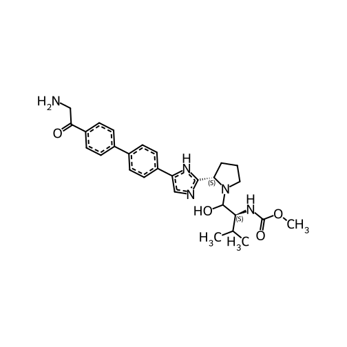 COC(=O)N[C@@H](C(C)C)C(O)N1CCC[C@H]1c1ncc(-c2ccc(-c3ccc(C(=O)CN)cc3)cc2)[nH]1